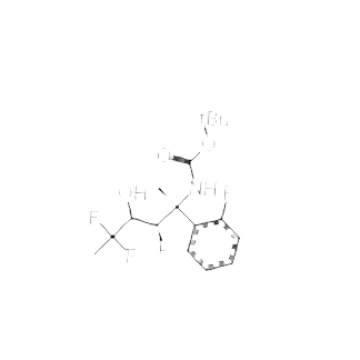 CC(C)(C)OC(=O)N[C@](C)(c1ccccc1F)[C@@H](F)C(O)C(C)(F)F